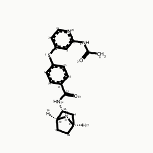 CC(=O)Nc1cc(Sc2ccc(C(=O)N[C@@H]3C[C@H]4CC[C@@H]3N4)cc2)ccn1